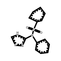 O=S(=O)(c1ccccc1)N(c1ccccc1)c1nnc[nH]1